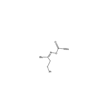 CNC(=O)ON=C(CSC(C)C)C(C)(C)C